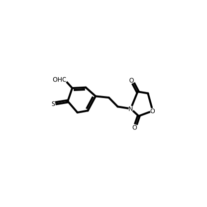 O=CC1=CC(CCN2C(=O)COC2=O)=CCC1=S